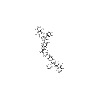 Cc1c2oc3cc4cc(N(c5ccccc5)c5ccc6c(c5)c5ccccc5n6C)ccc4cc3c2cc2c1oc1cc3cc(N(c4ccccc4)c4ccc5c(c4)c4ccccc4n5C)ccc3cc12